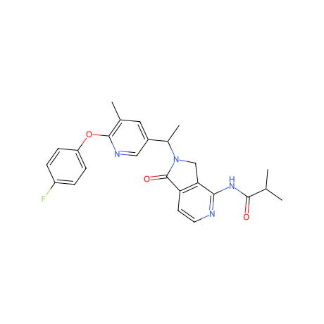 Cc1cc(C(C)N2Cc3c(ccnc3NC(=O)C(C)C)C2=O)cnc1Oc1ccc(F)cc1